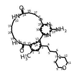 Cc1cc(CCCN2CCOCC2)c2cc1C(=O)NCCCCNC(=O)CCSc1cc-2nc(N)n1